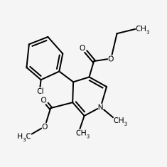 CCOC(=O)C1=CN(C)C(C)=C(C(=O)OC)C1c1ccccc1Cl